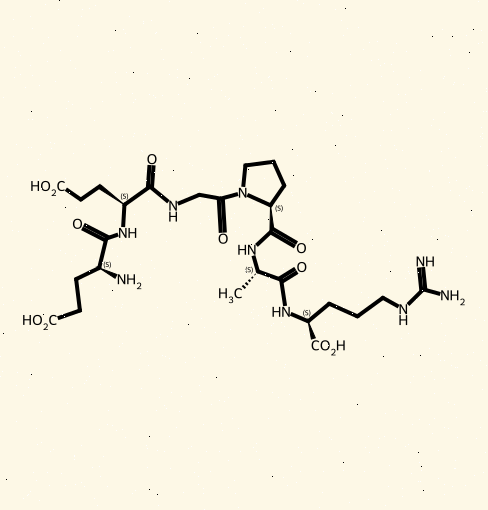 C[C@H](NC(=O)[C@@H]1CCCN1C(=O)CNC(=O)[C@H](CCC(=O)O)NC(=O)[C@@H](N)CCC(=O)O)C(=O)N[C@@H](CCCNC(=N)N)C(=O)O